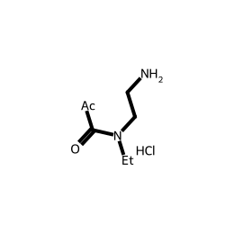 CCN(CCN)C(=O)C(C)=O.Cl